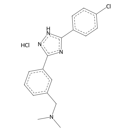 CN(C)Cc1cccc(-c2n[nH]c(-c3ccc(Cl)cc3)n2)c1.Cl